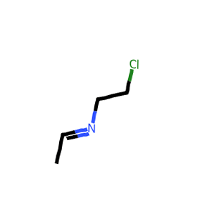 CC=NCCCl